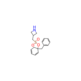 O=S(=O)(CC1CNC1)OC1(Cc2ccccc2)C=CC=CC1